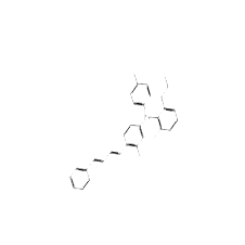 CCCc1cccc(C)c1N(c1ccc(C)cc1)c1ccc(/C=C/C=C/c2ccccc2)c(C)c1